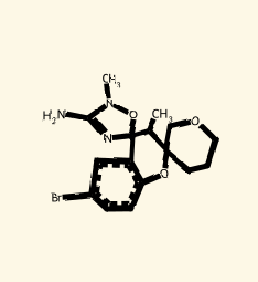 CC1C2(CCCOC2)Oc2ccc(Br)cc2C12N=C(N)N(C)O2